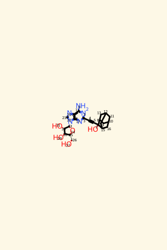 Nc1nc(C#CC2(O)C3CC4CC(C3)CC2C4)nc2c1ncn2[C@@H]1O[C@H](CO)C(O)[C@@H]1O